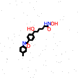 Cc1ccc2nc(-c3ccc([C@H](O)CCCCC(=O)NO)cc3)oc2c1